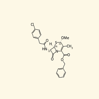 CO[C@H]1S[C@@H]2[C@@H](NC(=O)Cc3ccc(Cl)cc3)C(=O)N2C(C(=O)OCc2ccccc2)=C1C